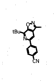 Cc1noc2c(C(C)(C)C)nc(-c3ccc(C#N)cc3)cc12